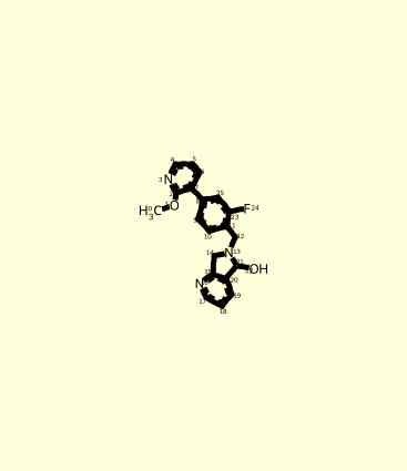 COc1ncccc1-c1ccc(CN2Cc3ncccc3C2O)c(F)c1